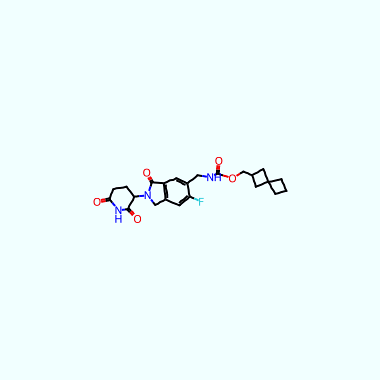 O=C1CCC(N2Cc3cc(F)c(CNC(=O)OCC4CC5(CCC5)C4)cc3C2=O)C(=O)N1